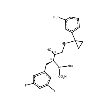 Cc1cccc(C2(NC[C@H](O)[C@H](Cc3cc(F)cc(F)c3)N(C(=O)O)C(C)(C)C)CC2)c1